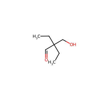 CCC(C=O)(CC)CO